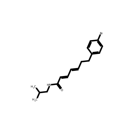 CC(C)CNC(=O)/C=C/C=CCCc1ccc(Br)cc1